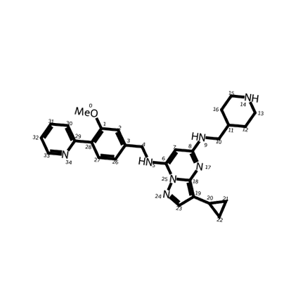 COc1cc(CNc2cc(NCC3CCNCC3)nc3c(C4CC4)cnn23)ccc1-c1ccccn1